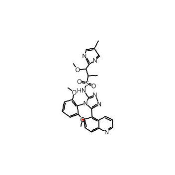 COc1cccc(OC)c1-n1c(NS(=O)(=O)C(C)C(OC)c2ncc(C)cn2)nnc1-c1cccc2ncccc12